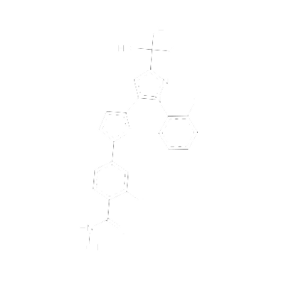 CNC(=O)c1ccc(-c2ccc(-c3cc(C(C)(C)O)nn3-c3ccccc3Cl)s2)cc1Cl